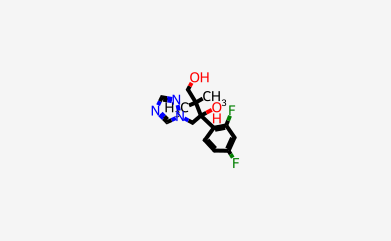 CC(C)(CO)C(O)(Cn1cncn1)c1ccc(F)cc1F